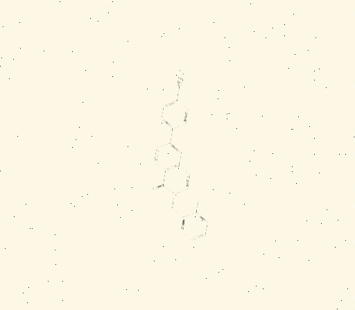 N#Cc1ccc(-c2ccc3c(=O)n(Cc4ccccc4F)ccc3c2)cc1